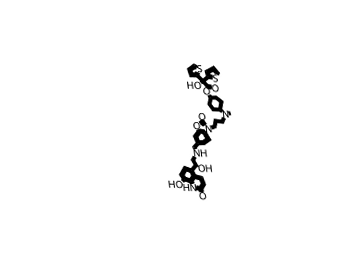 CN(CCCn1c(=O)oc2cc(CNC[C@@H](O)c3ccc(O)c4[nH]c(=O)ccc34)ccc21)C1CCC(OC(=O)C(O)(c2cccs2)c2cccs2)CC1